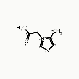 CC(=O)C[n+]1cscc1C